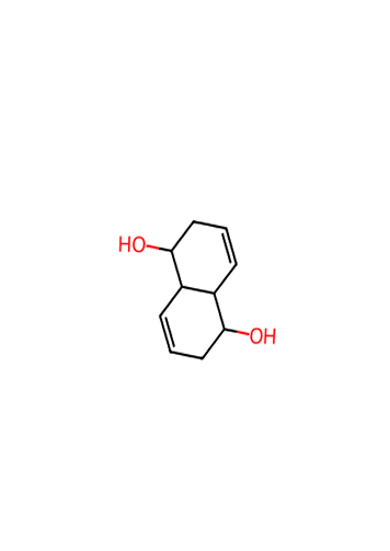 OC1CC=CC2C(O)CC=CC12